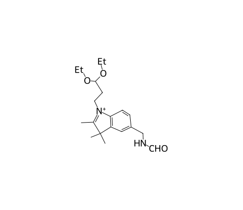 CCOC(CC[N+]1=C(C)C(C)(C)c2cc(CNC=O)ccc21)OCC